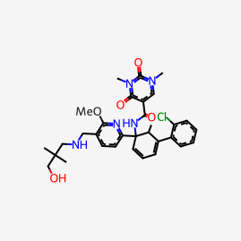 COc1nc(C2(NC(=O)c3cn(C)c(=O)n(C)c3=O)C=CC=C(c3ccccc3Cl)C2C)ccc1CNCC(C)(C)CO